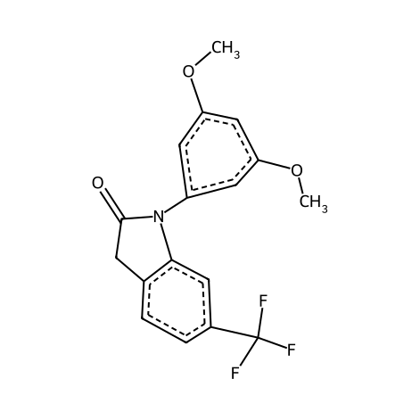 COc1cc(OC)cc(N2C(=O)Cc3ccc(C(F)(F)F)cc32)c1